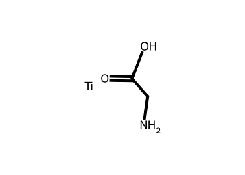 NCC(=O)O.[Ti]